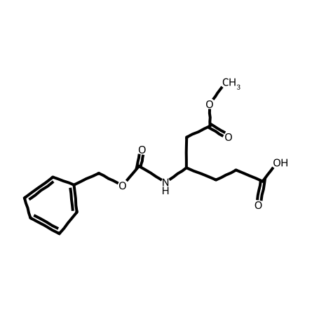 COC(=O)CC(CCC(=O)O)NC(=O)OCc1ccccc1